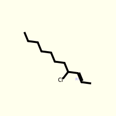 C/C=C/C(Cl)CCCCCCC